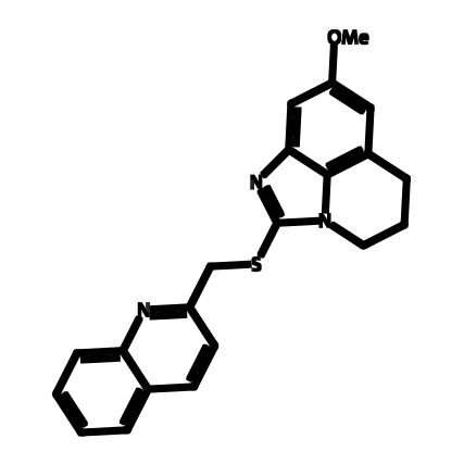 COc1cc2c3c(c1)nc(SCc1ccc4ccccc4n1)n3CCC2